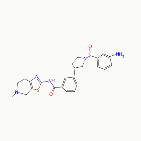 CN1CCc2nc(NC(=O)c3cccc(C4CCN(C(=O)c5cccc(N)c5)C4)c3)sc2C1